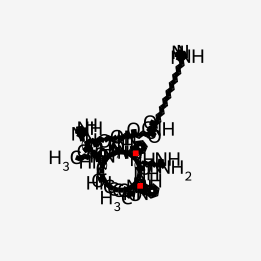 CCCC[C@H](NC(=O)[C@H](Cc1c[nH]cn1)NC(=O)COCCOCCNC(=O)CCCS(=O)(=O)NC(=O)CCCCCCCCCCCCCCCc1nnn[nH]1)C(=O)N[C@H]1CCC(=O)NCCCC[C@@H](C(C)=O)NC(=O)[C@H](Cc2c[nH]c3ccccc23)NC(=O)[C@H](CCCNC(=N)N)NC(=O)[C@@H](Cc2ccccc2)NC(=O)[C@H](CN)NC1=O